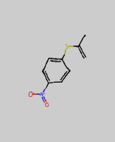 C=C(C)Sc1ccc([N+](=O)[O-])cc1